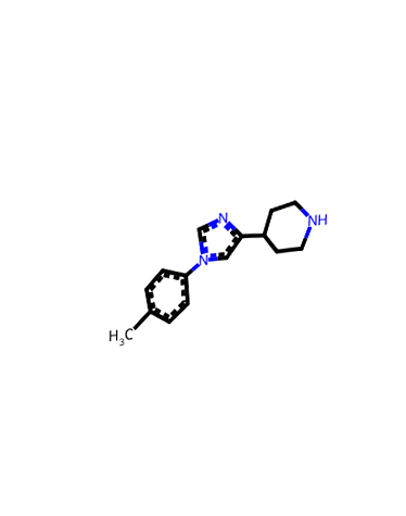 Cc1ccc(-n2cnc(C3CCNCC3)c2)cc1